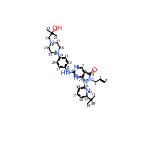 C=CCn1c(=O)c2cnc(Nc3ccc(N4CCN(CC(C)(C)O)CC4)cc3)nc2n1-c1cccc(C(C)(C)F)n1